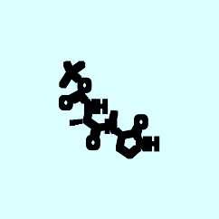 C[C@H](NC(=O)OC(C)(C)C)C(=O)N(C)[C@@H]1CCNC1=O